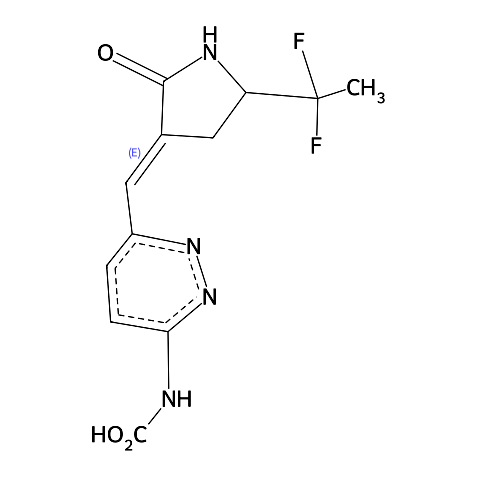 CC(F)(F)C1C/C(=C\c2ccc(NC(=O)O)nn2)C(=O)N1